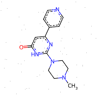 CN1CCN(c2nc(-c3ccncc3)cc(=O)[nH]2)CC1